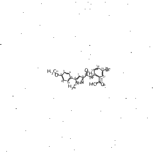 COc1ccc(-c2cc(C(=O)Nc3ccc(Br)cc3C(=O)O)nn2C)cc1